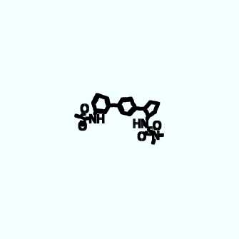 CN(C)S(=O)(=O)NC1CCCC1c1ccc(-c2cccc(NS(C)(=O)=O)c2)cc1